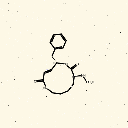 O=C(O)N[C@H]1CCCCNC(=O)/C=C/[C@H](Cc2ccccc2)NC1=O